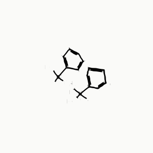 CC(C)(O)c1ccccc1.CC(C)(O)c1ccccc1